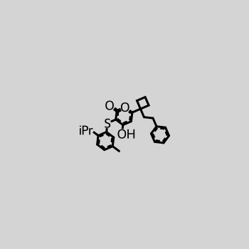 Cc1ccc(C(C)C)c(Sc2c(O)cc(C3(CCc4ccccc4)CCC3)oc2=O)c1